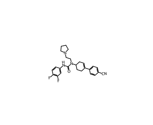 N#Cc1ccc(C2=CCC(N(CCN3CCCC3)C(=O)Nc3ccc(F)c(F)c3)CC2)cc1